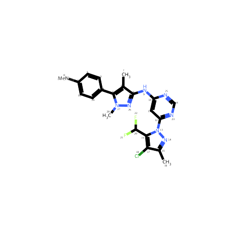 CNc1ccc(-c2c(C)c(Nc3cc(-n4nc(C)c(Cl)c4C(F)F)ncn3)nn2C)cc1